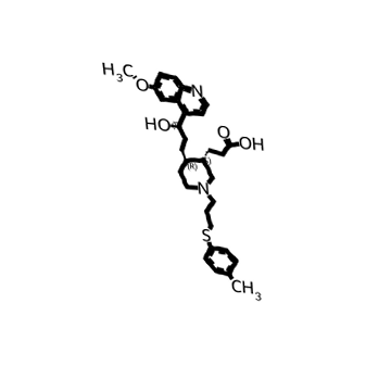 COc1ccc2nccc([C@H](O)CC[C@@H]3CCN(CCCSc4ccc(C)cc4)C[C@H]3CCC(=O)O)c2c1